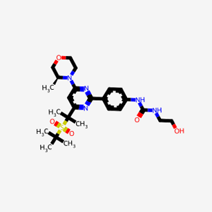 C[C@H]1COCCN1c1cc(C(C)(C)S(=O)(=O)C(C)(C)C)nc(-c2ccc(NC(=O)NCCO)cc2)n1